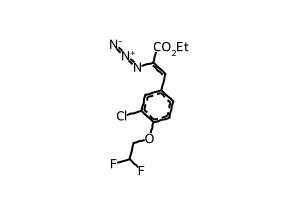 CCOC(=O)/C(=C/c1ccc(OCC(F)F)c(Cl)c1)N=[N+]=[N-]